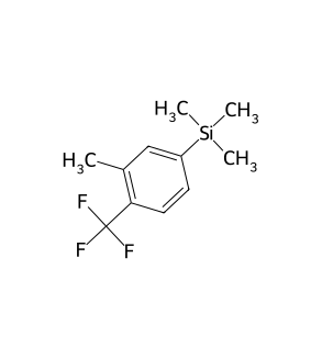 Cc1cc([Si](C)(C)C)ccc1C(F)(F)F